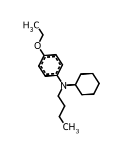 CCCCN(c1ccc(OCC)cc1)C1CCCCC1